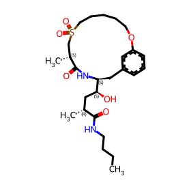 CCCCNC(=O)[C@H](C)C[C@H](O)[C@@H]1Cc2cccc(c2)OCCCCCS(=O)(=O)C[C@@H](C)C(=O)N1